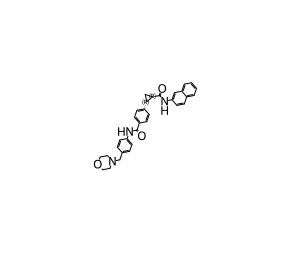 O=C(Nc1ccc(CN2CCOCC2)cc1)c1ccc([C@@H]2C[C@H]2C(=O)Nc2ccc3ccccc3c2)cc1